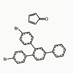 Brc1ccc(-c2ccc(-c3ccccc3)cc2-c2ccc(Br)cc2)cc1.O=C1C=CC=C1